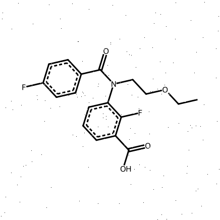 CCOCCN(C(=O)c1ccc(F)cc1)c1cccc(C(=O)O)c1F